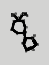 CC[N+]1(C)CCCN(c2ccccn2)CC1